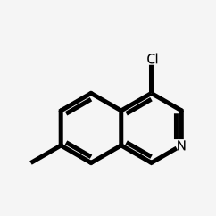 Cc1ccc2c(Cl)cncc2c1